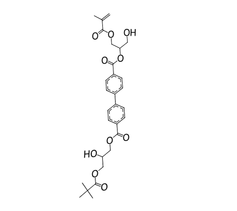 C=C(C)C(=O)OCC(CO)OC(=O)c1ccc(-c2ccc(C(=O)OCC(O)COC(=O)C(C)(C)C)cc2)cc1